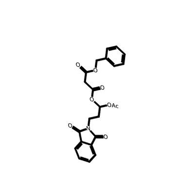 CC(=O)OC(CCN1C(=O)c2ccccc2C1=O)OC(=O)CC(=O)OCc1ccccc1